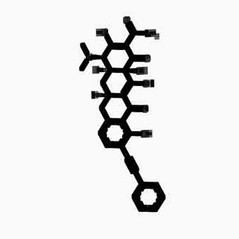 CN(C)[C@H]1C(O)=C(C(N)=O)C(=O)[C@]2(O)C(O)=C3C(=O)c4c(ccc(C#Cc5ccccc5)c4O)C[C@H]3C[C@@H]12